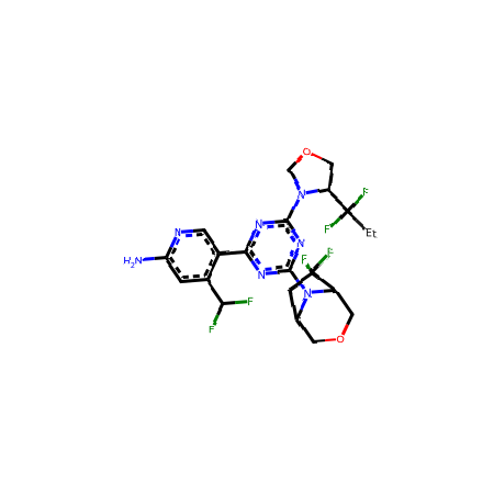 CCC(F)(F)C1COCN1c1nc(-c2cnc(N)cc2C(F)F)nc(N2C3COCC2C(F)(F)C3)n1